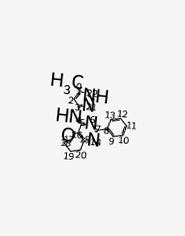 Cc1cc(Nc2nc(-c3ccccc3)nc3c2OCCC3)n[nH]1